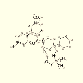 CC1(C)COC(=O)N1CC1(C2CCCCC2)CCN(C(=O)[C@H]2CCN(C(=O)O)C[C@@H]2c2ccc(F)cc2)CC1